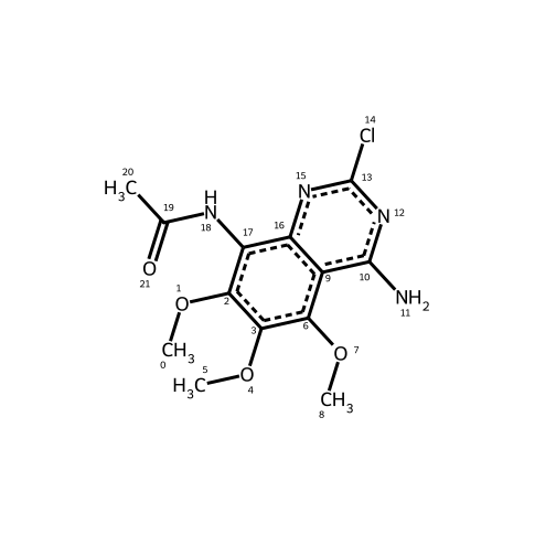 COc1c(OC)c(OC)c2c(N)nc(Cl)nc2c1NC(C)=O